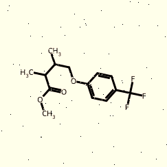 COC(=O)C(C)C(C)COc1ccc(C(F)(F)F)cc1